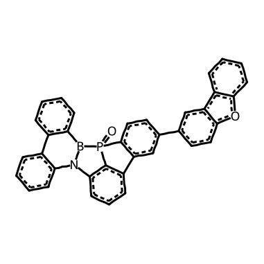 O=P12B3c4ccccc4-c4ccccc4N3c3cccc(c31)-c1cc(-c3ccc4oc5ccccc5c4c3)ccc12